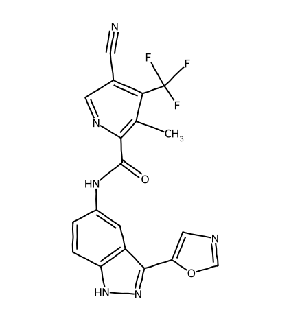 Cc1c(C(=O)Nc2ccc3[nH]nc(-c4cnco4)c3c2)ncc(C#N)c1C(F)(F)F